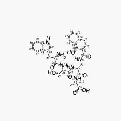 CC(C)(NC(=O)C(CNC(=O)c1ccc2ccccc2c1O)NC(=O)[C@@H](CO)NC(=O)[C@H](N)Cc1c[nH]c2ccccc12)C(=O)O